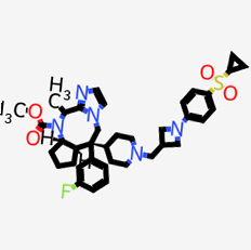 COC(=O)N1C(C)c2nccn2C[C@@](c2cccc(F)c2)(C2CCN(CC3CN(c4ccc(S(=O)(=O)C5CC5)cc4)C3)CC2)[C@H]2CCC[C@@H]21